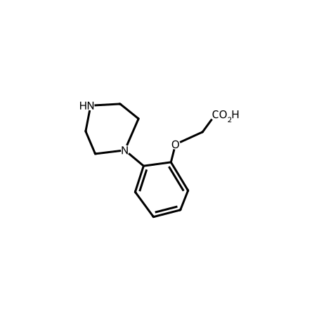 O=C(O)COc1ccccc1N1CCNCC1